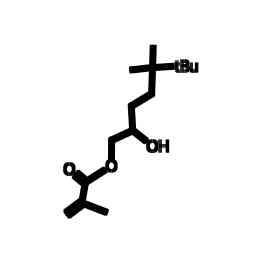 C=C(C)C(=O)OCC(O)CCC(C)(C)C(C)(C)C